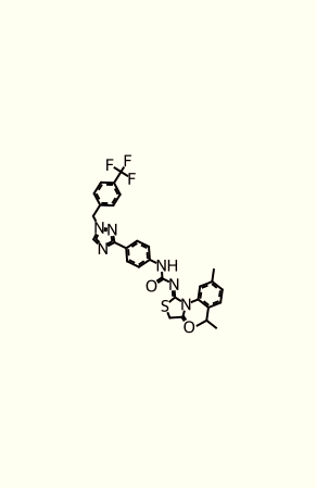 Cc1ccc(C(C)C)c(N2C(=O)CS/C2=N\C(=O)Nc2ccc(-c3ncn(Cc4ccc(C(F)(F)F)cc4)n3)cc2)c1